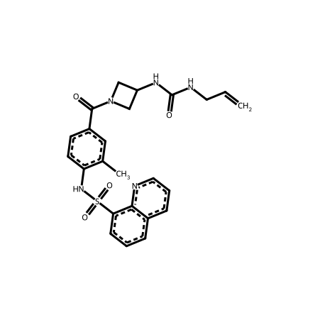 C=CCNC(=O)NC1CN(C(=O)c2ccc(NS(=O)(=O)c3cccc4cccnc34)c(C)c2)C1